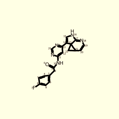 O=C(Cc1ccc(F)cc1)Nc1cc(C2=CNC3=NC=CC4CC234)ncn1